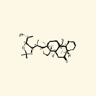 CC(C)[C@H](C)[C@H]1OC(C)(C)O[C@@H]1[C@@H](C)[C@H]1CC[C@H]2[C@@H]3CC(=O)[C@H]4CC=CC[C@]4(C)[C@H]3CC[C@]12C